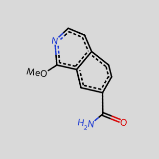 COc1nccc2ccc(C(N)=O)cc12